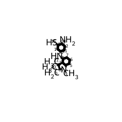 C=C1N(C)c2cccc(Nc3ccc(N)c(S)c3)c2C1(C)C